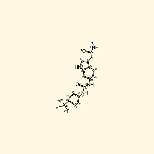 CNC(=O)Cc1c[nH]c2cc(NC(=O)Nc3ccc(C(F)(F)F)cc3)ccc12